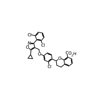 O=C(O)c1cccc2c1OC(c1ccc(OCc3c(-c4c(Cl)cccc4Cl)noc3C3CC3)cc1Cl)CC2